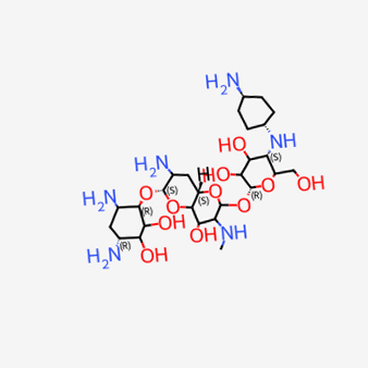 CNC1C(O[C@H]2OC(CO)[C@@H](N[C@H]3CC[C@H](N)CC3)C(O)C2O)O[C@H]2CC(N)[C@@H](O[C@@H]3C(N)C[C@@H](N)C(O)C3O)OC2C1O